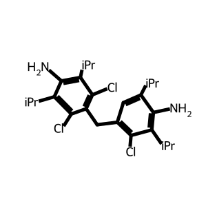 CC(C)c1cc(Cc2c(Cl)c(C(C)C)c(N)c(C(C)C)c2Cl)c(Cl)c(C(C)C)c1N